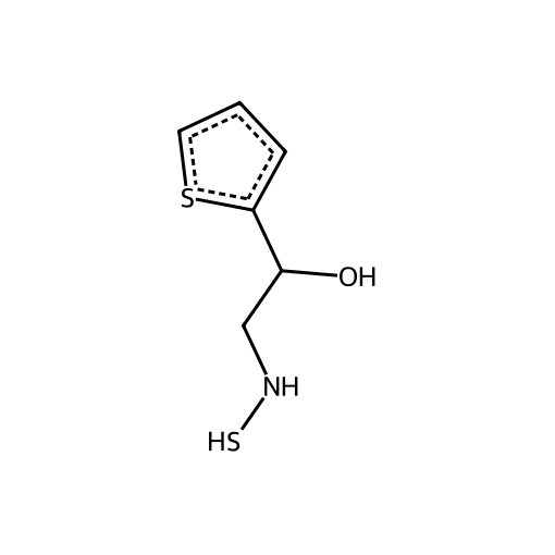 OC(CNS)c1cccs1